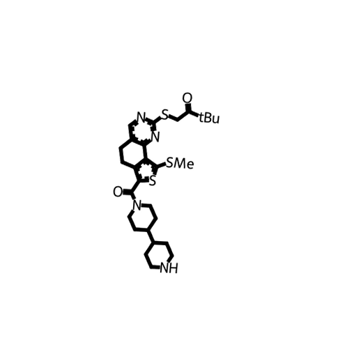 CSc1sc(C(=O)N2CCC(C3CCNCC3)CC2)c2c1-c1nc(SCC(=O)C(C)(C)C)ncc1CC2